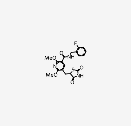 COc1nc(OC)c(C(=O)NCc2ccccc2F)cc1CC1SC(=O)NC1=O